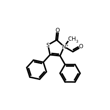 C[N+]1(C=O)C(=O)SC(c2ccccc2)=C1c1ccccc1